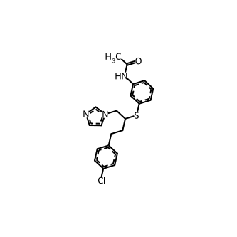 CC(=O)Nc1cccc(SC(CCc2ccc(Cl)cc2)Cn2ccnc2)c1